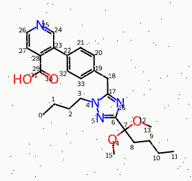 CCCCn1nc(C(CCCC)(OC)OC)nc1Cc1ccc(-c2cnccc2C(=O)O)cc1